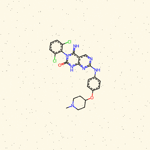 CN1CCC(Oc2ccc(Nc3ncc4c(=N)n(-c5c(Cl)cccc5Cl)c(=O)[nH]c4n3)cc2)CC1